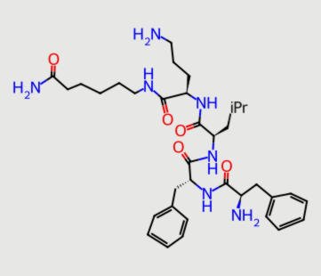 CC(C)C[C@@H](NC(=O)[C@@H](Cc1ccccc1)NC(=O)[C@H](N)Cc1ccccc1)C(=O)N[C@H](CCCN)C(=O)NCCCCCC(N)=O